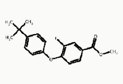 COC(=O)c1ccc(Oc2ccc(C(C)(C)C)cc2)c(F)c1